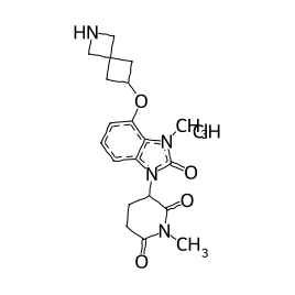 CN1C(=O)CCC(n2c(=O)n(C)c3c(OC4CC5(CNC5)C4)cccc32)C1=O.Cl